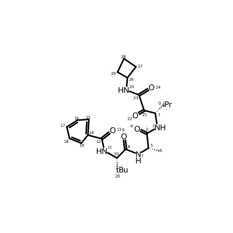 CC(C)[C@H](NC(=O)[C@H](C)NC(=O)[C@@H](NC(=O)c1ccccc1)C(C)(C)C)C(=O)C(=O)NC1CCC1